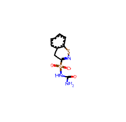 NC(=O)NS(=O)(=O)C1=NSc2ccccc2C1